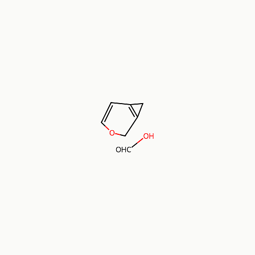 C1=CC2=C(CO1)C2.O=CO